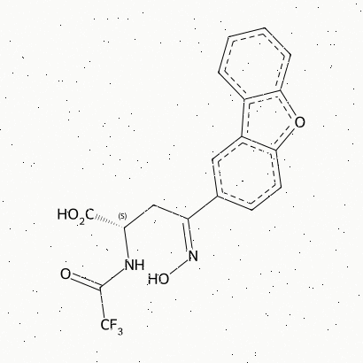 O=C(O)[C@H](CC(=NO)c1ccc2oc3ccccc3c2c1)NC(=O)C(F)(F)F